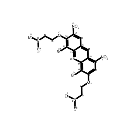 CCN(CC)CCOc1cc([N+](=O)[O-])c2cc3cc([N+](=O)[O-])c(OCCN(CC)CC)c(Br)c3nc2c1Br